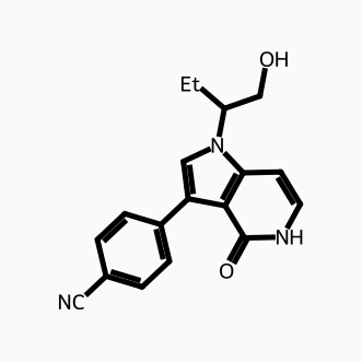 CCC(CO)n1cc(-c2ccc(C#N)cc2)c2c(=O)[nH]ccc21